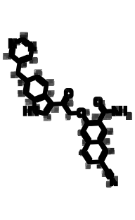 N#Cc1ccc2cc(OCC(=O)c3c[nH]c4cc(Cc5cncnc5)ccc34)c(C(N)=O)cc2c1